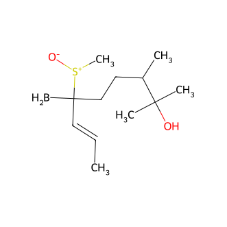 BC(C=CC)(CCC(C)C(C)(C)O)[S+](C)[O-]